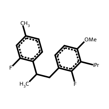 COc1ccc(CC(C)c2ccc(C)cc2F)c(F)c1C(C)C